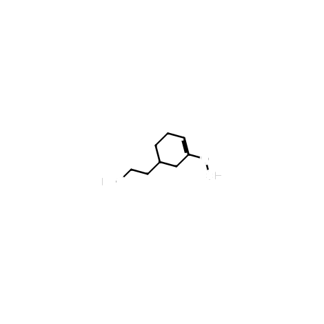 CCCC1CCC=C(OO)C1